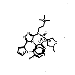 COc1cccc(OC)c1-n1c(-c2ccco2)nnc1N(CC[Si](C)(C)C)S(=O)(=O)[C@H]1CON(C)[C@@H]1c1ncc(F)cn1